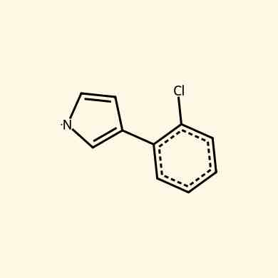 Clc1ccccc1C1=C[N]C=C1